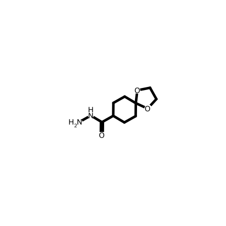 NNC(=O)C1CCC2(CC1)OCCO2